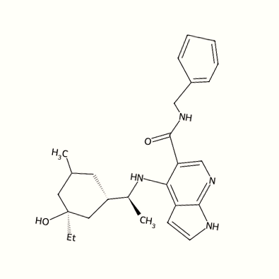 CC[C@]1(O)CC(C)C[C@H]([C@H](C)Nc2c(C(=O)NCc3ccccc3)cnc3[nH]ccc23)C1